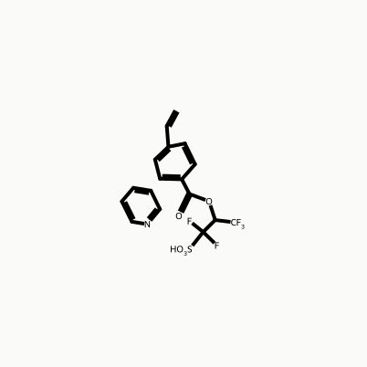 C=Cc1ccc(C(=O)OC(C(F)(F)F)C(F)(F)S(=O)(=O)O)cc1.c1ccncc1